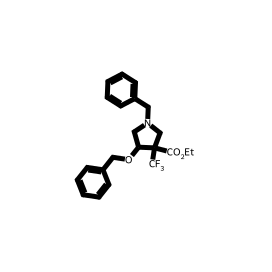 CCOC(=O)C1(C(F)(F)F)CN(Cc2ccccc2)CC1OCc1ccccc1